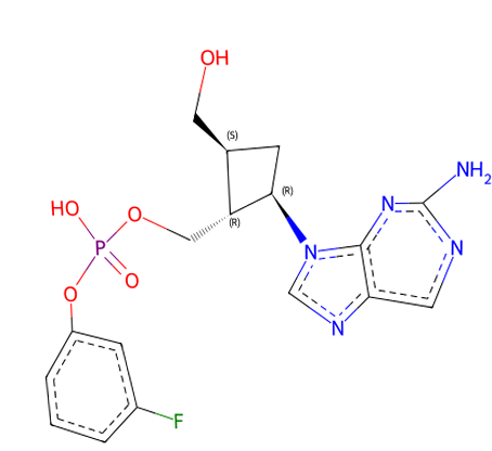 Nc1ncc2ncn([C@@H]3C[C@H](CO)[C@H]3COP(=O)(O)Oc3cccc(F)c3)c2n1